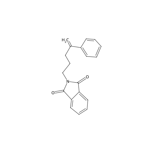 C=C(CCCN1C(=O)c2ccccc2C1=O)c1ccccc1